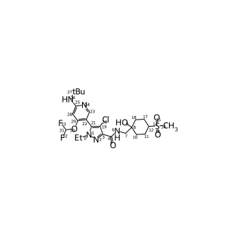 CCn1nc(C(=O)NCC2(O)CCC(S(C)(=O)=O)CC2)c(Cl)c1-c1cnc(NC(C)(C)C)cc1OC(F)F